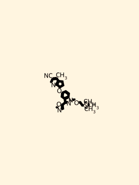 Cc1c(C#N)cnc2c1CCC2Oc1ccc2c(c1)c(-c1cnco1)nn2COCC[Si](C)(C)C